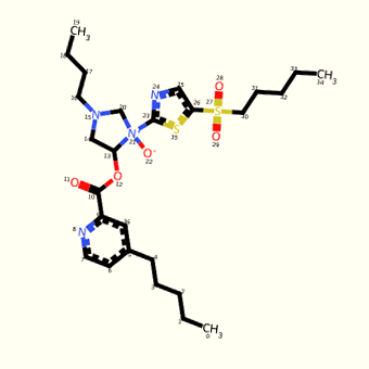 CCCCCc1ccnc(C(=O)OC2CN(CCCC)C[N+]2([O-])c2ncc(S(=O)(=O)CCCCC)s2)c1